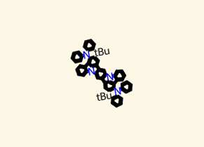 CC(C)(C)c1cc2c3cc4c(cc3n3c5ccccc5c(c1N(c1ccccc1)c1ccccc1)c23)c1cc(C(C)(C)C)c(N(c2ccccc2)c2ccccc2)c2c3ccccc3n4c12